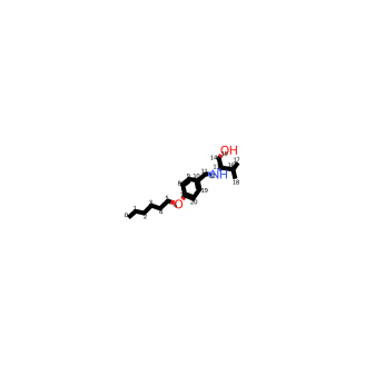 CCCCCCOc1ccc(CNC(CO)C(C)C)cc1